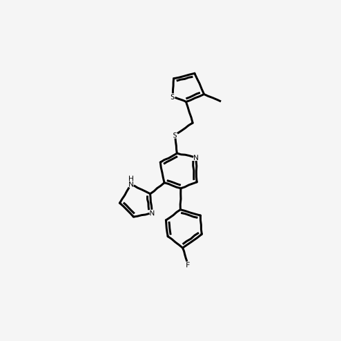 Cc1ccsc1CSc1cc(-c2ncc[nH]2)c(-c2ccc(F)cc2)cn1